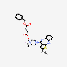 Cc1cc2c(s1)Nc1ccccc1N=C2N1CC[N+](C)(COC(=O)CCC(=O)OCc2ccccc2)CC1.[I-]